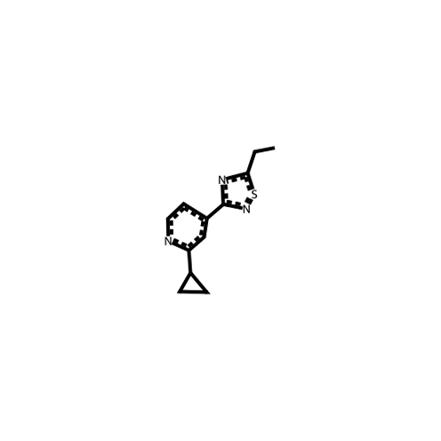 CCc1nc(-c2ccnc(C3CC3)c2)ns1